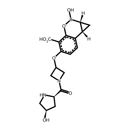 O=C(O)c1c(OC2CN(C(=O)[C@H]3C[C@@H](O)CN3)C2)ccc2c1OB(O)[C@@H]1C[C@H]21